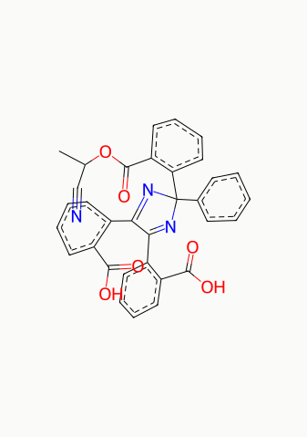 CC(C#N)OC(=O)c1ccccc1C1(c2ccccc2)N=C(c2ccccc2C(=O)O)C(c2ccccc2C(=O)O)=N1